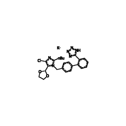 CCCCc1nc(Cl)c(C2OCCO2)n1Cc1ccc(-c2ccccc2-c2nnn[nH]2)cc1.[K]